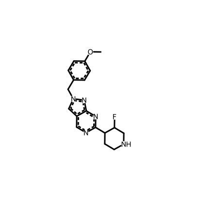 COc1ccc(Cn2cc3cnc(C4CCNCC4F)nc3n2)cc1